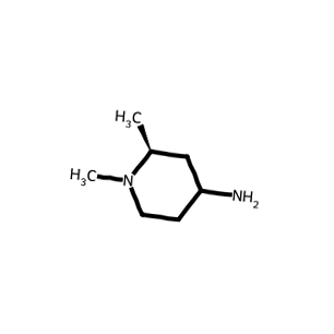 C[C@H]1CC(N)CCN1C